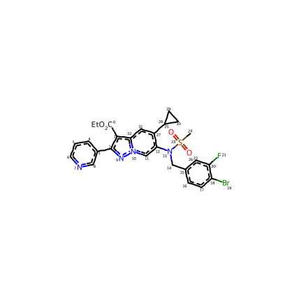 CCOC(=O)c1c(-c2cccnc2)nn2cc(N(Cc3ccc(Br)c(F)c3)S(C)(=O)=O)c(C3CC3)cc12